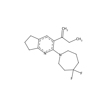 C=C(CC)c1cc2c(nc1N1CCCC(F)(F)CC1)CCC2